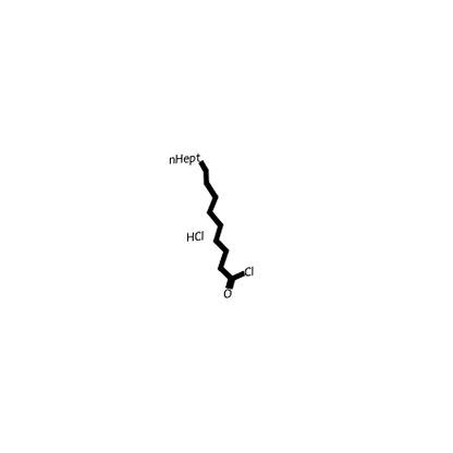 CCCCCCCCCCCCCCCC(=O)Cl.Cl